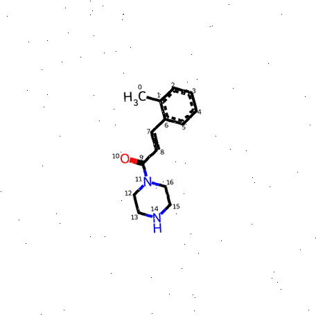 Cc1ccccc1C=CC(=O)N1CCNCC1